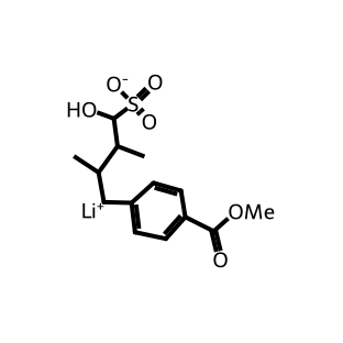 COC(=O)c1ccc(CC(C)C(C)C(O)S(=O)(=O)[O-])cc1.[Li+]